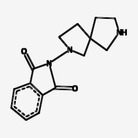 O=C1c2ccccc2C(=O)N1N1CCC2(CCNC2)C1